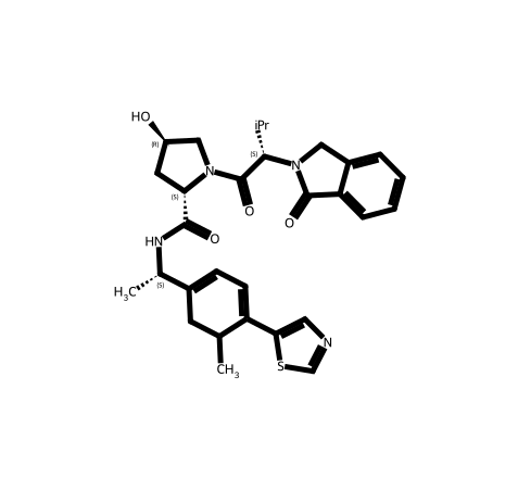 CC1CC([C@H](C)NC(=O)[C@@H]2C[C@@H](O)CN2C(=O)[C@H](C(C)C)N2Cc3ccccc3C2=O)=CC=C1c1cncs1